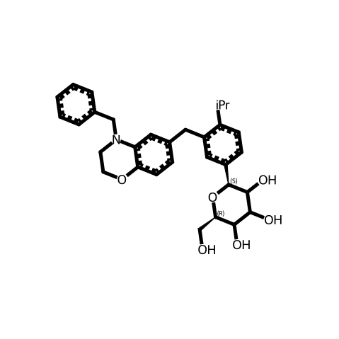 CC(C)c1ccc([C@@H]2O[C@H](CO)C(O)C(O)C2O)cc1Cc1ccc2c(c1)N(Cc1ccccc1)CCO2